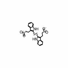 O=[N+]([O-])CCc1c(SSc2[nH]c3ccccc3c2CC[N+](=O)[O-])[nH]c2ccccc12